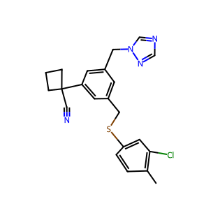 Cc1ccc(SCc2cc(Cn3cncn3)cc(C3(C#N)CCC3)c2)cc1Cl